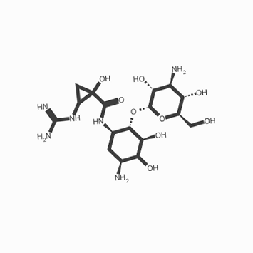 N=C(N)NC1CC1(O)C(=O)N[C@@H]1C[C@H](N)C(O)[C@H](O)[C@H]1O[C@H]1O[C@H](CO)[C@@H](O)[C@H](N)[C@H]1O